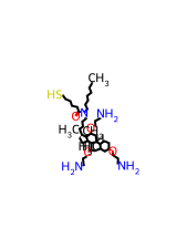 CCCCCCCCN(CCC[C@@H](C)[C@H]1CC[C@H]2C3[C@H](OCCCN)CC4C[C@H](OCCCN)CC[C@]4(C)[C@H]3C[C@H](OCCCN)C12C)C(=O)CCCCCS